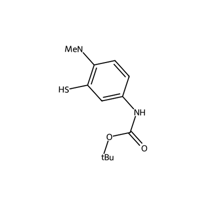 CNc1ccc(NC(=O)OC(C)(C)C)cc1S